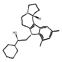 Cc1cc(C)c2c(c1)c1c(n2C[C@H](O)C2CCCCC2)CCN2CCC[C@H]12